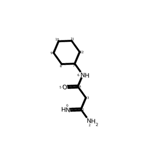 N=C(N)CC(=O)NC1CCCCC1